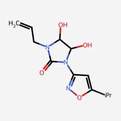 C=CCN1C(=O)N(c2cc(C(C)C)on2)C(O)C1O